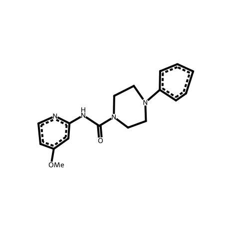 COc1ccnc(NC(=O)N2CCN(c3ccccc3)CC2)c1